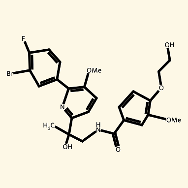 COc1cc(C(=O)NCC(C)(O)c2ccc(OC)c(-c3ccc(F)c(Br)c3)n2)ccc1OCCO